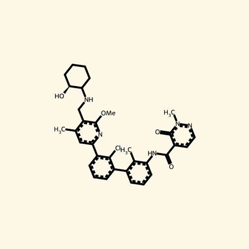 COc1nc(-c2cccc(-c3cccc(NC(=O)c4ccnn(C)c4=O)c3C)c2Cl)cc(C)c1CNC1CCCC[C@@H]1O